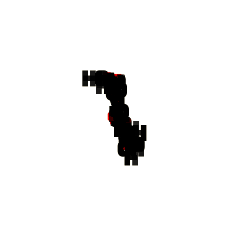 COc1cc2c(cc1CNC[C@H](O)c1ccc(O)c3[nH]c(=O)ccc13)CCN2C(=O)CCN1CCC(OC(=O)Nc2ccccc2-c2ccc(O)cc2)CC1